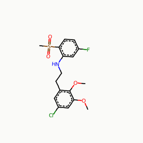 COc1cc(Cl)cc(CCNc2cc(F)ccc2S(C)(=O)=O)c1OC